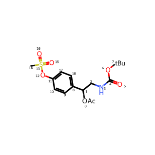 CC(=O)OC(CNC(=O)OC(C)(C)C)c1ccc(OS(C)(=O)=O)cc1